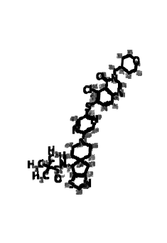 CC(C)(C)[S@+]([O-])N[C@H]1c2scnc2CC12CCN(c1cnc(Sc3ccc4ncn(CC5CCOCC5)c(=O)c4c3Cl)cn1)CC2